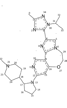 Cc1nc(-c2cn3c(n2)-c2cnc(N4CCCC4C4CCN(C)CC4)cc2OCC3)n(C(C)C)n1